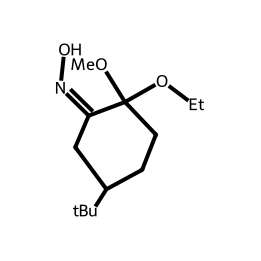 CCOC1(OC)CCC(C(C)(C)C)CC1=NO